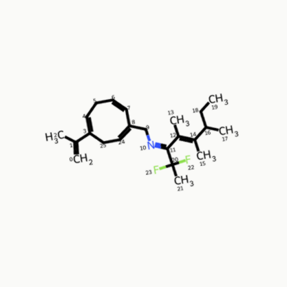 C=C(C)/C1=C/C/C=C\C(C/N=C(\C(C)=C(/C)C(C)CC)C(C)(F)F)=C/C1